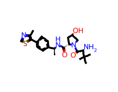 Cc1ncsc1-c1ccc([C@H](C)NC(=O)[C@@H]2C[C@@H](O)CN2C(=O)[C@@H](N)C(C)(C)C)cc1